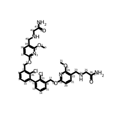 COc1nc(OCc2cccc(-c3cccc(COc4ccc(CNCC(N)=O)c(OC)n4)c3Cl)c2Cl)ccc1CNCC(N)=O